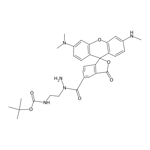 CNc1ccc2c(c1)Oc1cc(N(C)C)ccc1C21OC(=O)c2cc(C(=O)N(N)CCNC(=O)OC(C)(C)C)ccc21